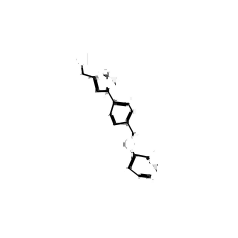 ClCc1cc(-c2ccc(COc3cccnc3)cc2)no1